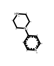 c1cc([N+]2CCNCC2)ccn1